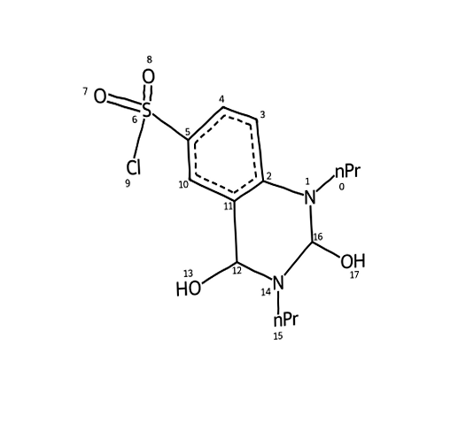 CCCN1c2ccc(S(=O)(=O)Cl)cc2C(O)N(CCC)C1O